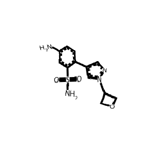 Nc1ccc(-c2cnn(C3COC3)c2)c(S(N)(=O)=O)c1